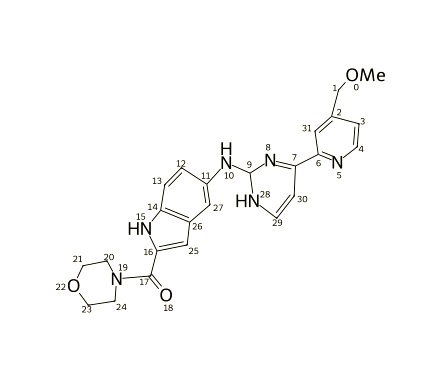 COCc1ccnc(C2=NC(Nc3ccc4[nH]c(C(=O)N5CCOCC5)cc4c3)NC=C2)c1